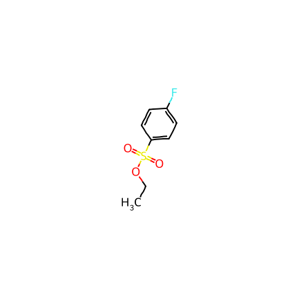 CCOS(=O)(=O)c1ccc(F)cc1